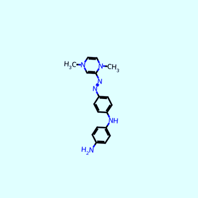 CN1C=CN(C)C(N=Nc2ccc(Nc3ccc(N)cc3)cc2)=C1